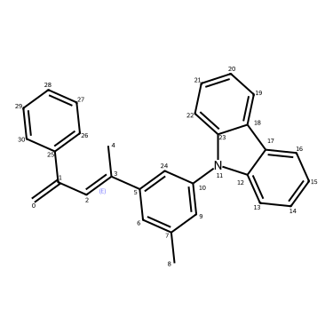 C=C(/C=C(\C)c1cc(C)cc(-n2c3ccccc3c3ccccc32)c1)c1ccccc1